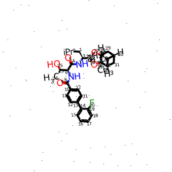 CC(C)C[C@H](NC(=O)[C@@H](NC(=O)c1ccc(-c2ccccc2F)cc1)[C@@H](C)O)B1O[C@@H]2C[C@@H]3C[C@@H](C3(C)C)[C@]2(C)O1